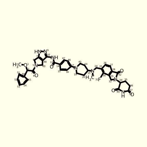 COC(C(=O)N1Cc2[nH]nc(NC(=O)c3ccc(N4CCC(N(C)Cc5ccc6c(c5F)CN(C5CCC(=O)NC5=O)C6=O)CC4)cc3)c2C1)c1ccccc1